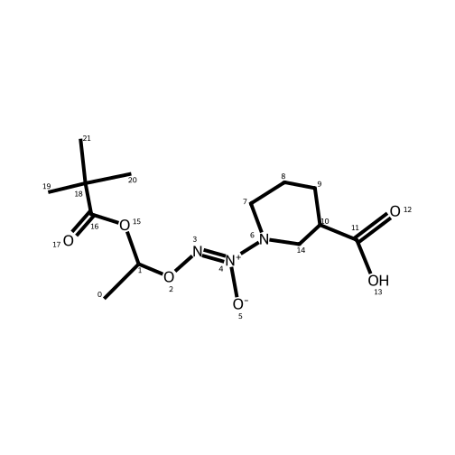 CC(ON=[N+]([O-])N1CCCC(C(=O)O)C1)OC(=O)C(C)(C)C